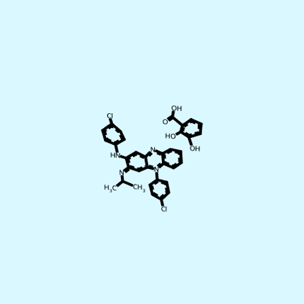 CC(C)N=c1cc2n(-c3ccc(Cl)cc3)c3ccccc3nc-2cc1Nc1ccc(Cl)cc1.O=C(O)c1cccc(O)c1O